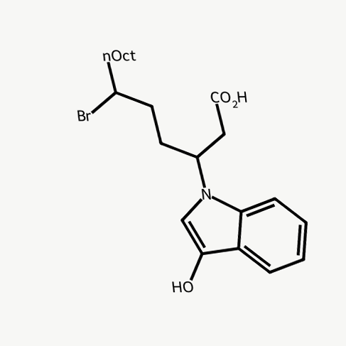 CCCCCCCCC(Br)CCC(CC(=O)O)n1cc(O)c2ccccc21